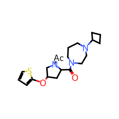 CC(=O)N1CC(Oc2cccs2)CC1C(=O)N1CCCN(C2CCC2)CC1